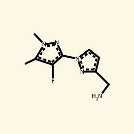 Cc1c(F)c(-n2ccc(CN)n2)nn1C